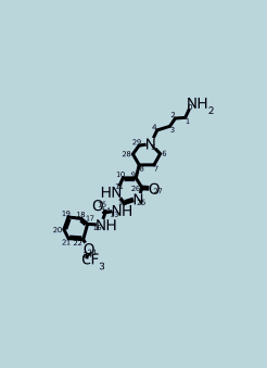 NCCCCN1CCC(c2c[nH]c(NC(=O)Nc3ccccc3OC(F)(F)F)nc2=O)CC1